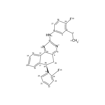 [CH2][CH]c1cc(Nc2ncc3c(n2)-c2ccccc2[C@H](c2ccccc2F)C3)ccc1F